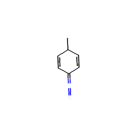 [CH2]C1C=CC(=[N+]=[N-])C=C1